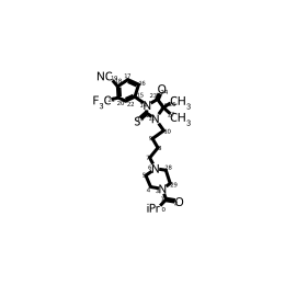 CC(C)C(=O)N1CCN(CCCCN2C(=S)N(c3ccc(C#N)c(C(F)(F)F)c3)C(=O)C2(C)C)CC1